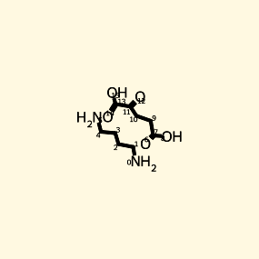 NCCCCN.O=C(O)CCC(=O)C(=O)O